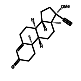 C#C[C@]1(OC)CC[C@H]2[C@@H]3CCC4=CC(=O)CC[C@]4(C)[C@H]3CC[C@@]21C